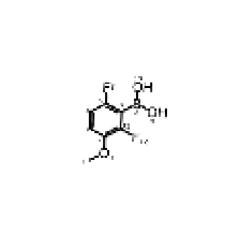 COc1ccc(F)c(B(O)O)c1F